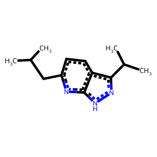 CC(C)Cc1ccc2c(C(C)C)n[nH]c2n1